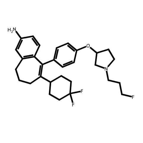 Nc1ccc2c(c1)CCCC(C1CCC(F)(F)CC1)=C2c1ccc(OC2CCN(CCCF)C2)cc1